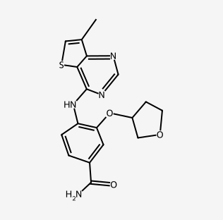 Cc1csc2c(Nc3ccc(C(N)=O)cc3OC3CCOC3)ncnc12